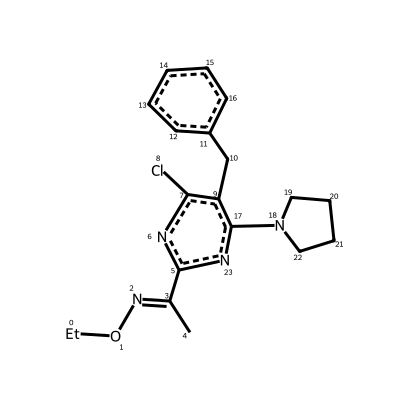 CCO/N=C(\C)c1nc(Cl)c(Cc2ccccc2)c(N2CCCC2)n1